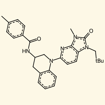 Cc1ccc(C(=O)NC2Cc3ccccc3N(c3ccc4c(n3)n(C)c(=O)n4CC(C)(C)C)C2)cc1